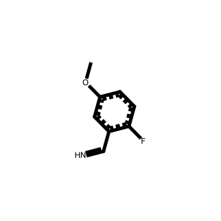 COc1ccc(F)c(C=N)c1